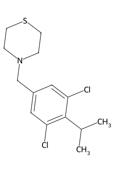 CC(C)c1c(Cl)cc(CN2CCSCC2)cc1Cl